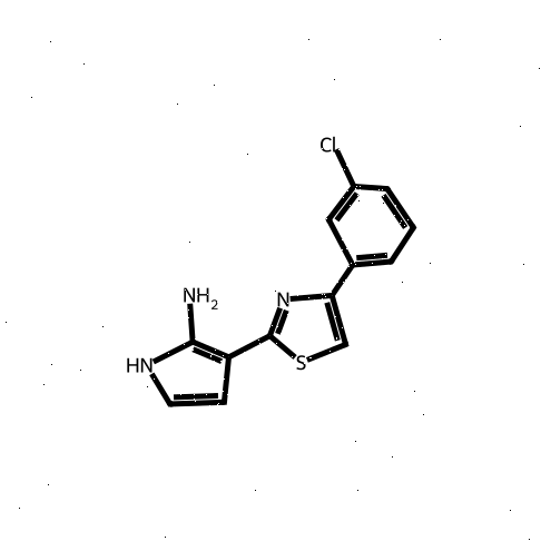 Nc1[nH]ccc1-c1nc(-c2cccc(Cl)c2)cs1